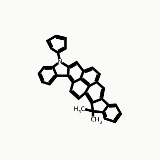 CC1(C)c2ccccc2-c2cc3ccc4cc5c(c6ccc(c21)c3c46)c1ccccc1n5-c1ccccc1